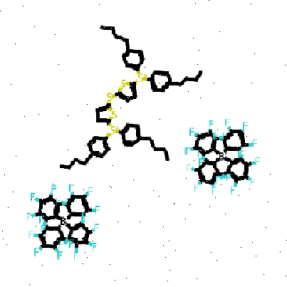 CCCCc1ccc([S+](c2ccc(CCCC)cc2)c2ccc(Sc3ccc([S+](c4ccc(CCCC)cc4)c4ccc(CCCC)cc4)s3)s2)cc1.Fc1c(F)c(F)c([B-](c2c(F)c(F)c(F)c(F)c2F)(c2c(F)c(F)c(F)c(F)c2F)c2c(F)c(F)c(F)c(F)c2F)c(F)c1F.Fc1c(F)c(F)c([B-](c2c(F)c(F)c(F)c(F)c2F)(c2c(F)c(F)c(F)c(F)c2F)c2c(F)c(F)c(F)c(F)c2F)c(F)c1F